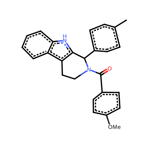 COc1ccc(C(=O)N2CCc3c([nH]c4ccccc34)C2c2ccc(C)cc2)cc1